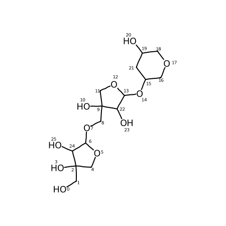 OCC1(O)COC(OCC2(O)COC(OC3COCC(O)C3)C2O)C1O